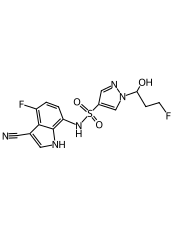 N#Cc1c[nH]c2c(NS(=O)(=O)c3cnn(C(O)CCF)c3)ccc(F)c12